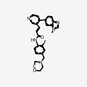 Cn1cnc2ccc(-c3ccncc3C=CC(=O)Nc3ccc(CN4CCOCC4)cc3F)cc21